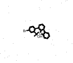 CC(C)(O)c1cc(Br)ccc1-c1cccc2c1oc1ccccc12